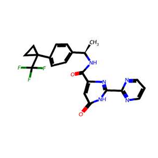 C[C@@H](NC(=O)c1cc(=O)[nH]c(-c2ncccn2)n1)c1ccc(C2(C(F)(F)F)CC2)cc1